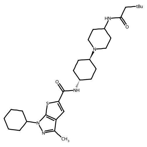 Cc1nn(C2CCCCC2)c2sc(C(=O)N[C@H]3CC[C@H](N4CCC(NC(=O)CC(C)(C)C)CC4)CC3)cc12